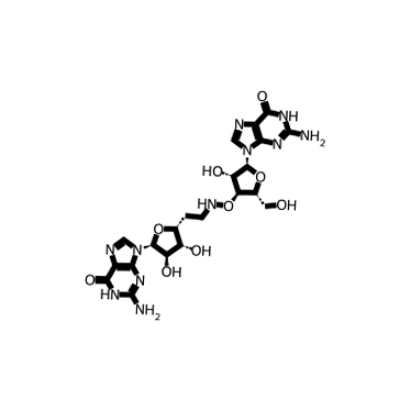 Nc1nc2c(ncn2[C@@H]2O[C@H](CCNO[C@H]3[C@H](O)[C@H](n4cnc5c(=O)[nH]c(N)nc54)O[C@@H]3CO)[C@H](O)[C@H]2O)c(=O)[nH]1